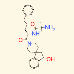 CC(C)(N)C(=O)N[C@H](CCCc1ccccc1)C(=O)N1CCC2(CC1)C[C@H](O)c1ccccc12